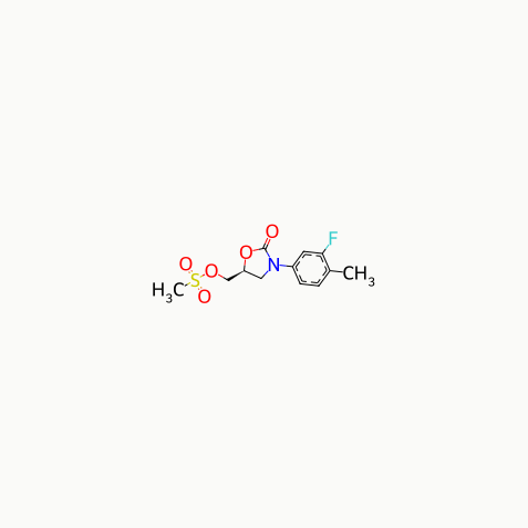 Cc1ccc(N2C[C@@H](COS(C)(=O)=O)OC2=O)cc1F